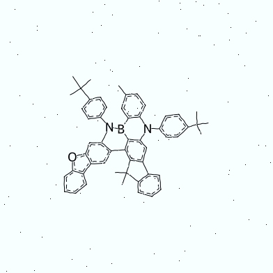 Cc1ccc2c(c1)B1c3c(cc4c(c3-c3cc5c(cc3N1c1ccc(C(C)(C)C)cc1)oc1ccccc15)C(C)(C)c1ccccc1-4)N2c1ccc(C(C)(C)C)cc1